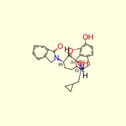 O=C1c2ccccc2CN1[C@@H]1CC[C@@]2(O)[C@H]3Cc4ccc(O)c5c4[C@@]2(CCN3CC2CC2)[C@H]1O5